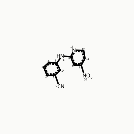 N#Cc1cccc(Nc2cc([N+](=O)[O-])ccn2)c1